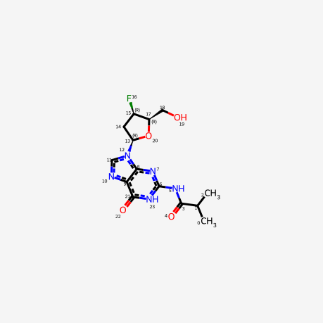 CC(C)C(=O)Nc1nc2c(ncn2[C@H]2C[C@@H](F)[C@@H](CO)O2)c(=O)[nH]1